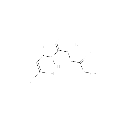 CC(=C[C@H](C(C)C)N(C)C(=O)[C@@H](NC(=O)OC(C)(C)C)C(C)(C)C)C(=O)O